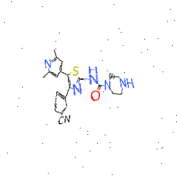 Cc1cc(-c2sc(NC(=O)N3CCNC[C@H]3C)nc2-c2cccc(C#N)c2)cc(C)n1